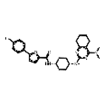 CN(C)c1nc(N[C@H]2CC[C@@H](NC(=O)c3ccc(-c4ccc(Cl)cc4)o3)CC2)nc2c1CCCC2